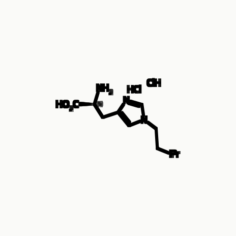 CC(C)CCn1cnc(C[C@H](N)C(=O)O)c1.Cl.Cl